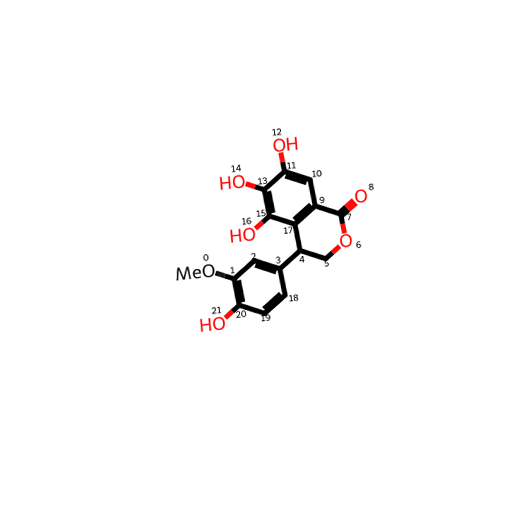 COc1cc(C2COC(=O)c3cc(O)c(O)c(O)c32)ccc1O